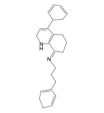 C1=CCC(C2=CCNC3=C2CCC/C3=N\CCCC2=CCCC=C2)C=C1